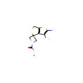 CC(C)(C)OC(=O)N1CC2(C1)SCc1sc(N)c(C#N)c12